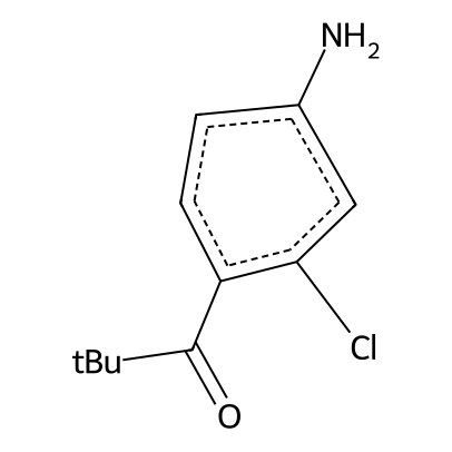 CC(C)(C)C(=O)c1ccc(N)cc1Cl